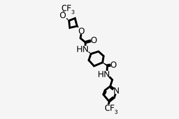 O=C(CO[C@H]1C[C@@H](OC(F)(F)F)C1)N[C@H]1CC[C@H](C(=O)NCc2ccc(C(F)(F)F)cn2)CC1